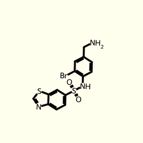 NCc1ccc(NS(=O)(=O)c2ccc3ncsc3c2)c(Br)c1